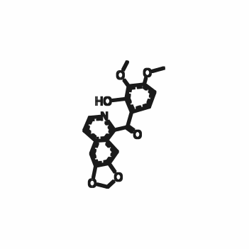 COc1ccc(C(=O)c2nccc3cc4c(cc23)OCO4)c(O)c1OC